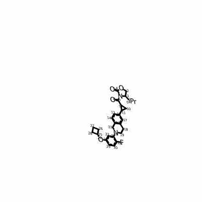 CC(C)C1COC(=O)N1C(=O)C1CC1c1ccc2c(c1)CCN(c1cc(OC3CCC3)ccc1F)C2